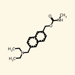 CCN(CC)Cc1ccc2cc(COC(=O)NC)ccc2c1